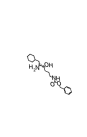 N[C@@H](CC1CCCCC1)[C@@H](O)CCCNC(=O)OCc1ccccc1